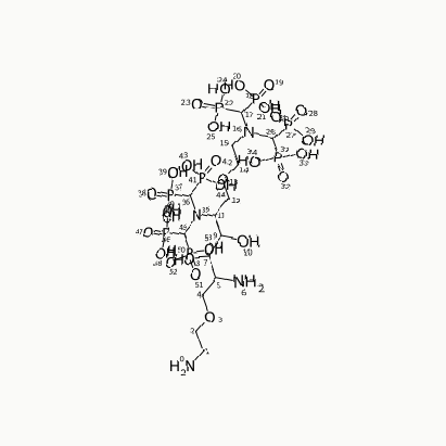 NCCOCC(N)C(O)C(O)C(COCCN(C(P(=O)(O)O)P(=O)(O)O)C(P(=O)(O)O)P(=O)(O)O)N(C(P(=O)(O)O)P(=O)(O)O)C(P(=O)(O)O)P(=O)(O)O